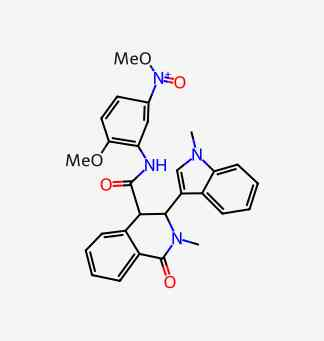 COc1ccc([N+](=O)OC)cc1NC(=O)C1c2ccccc2C(=O)N(C)C1c1cn(C)c2ccccc12